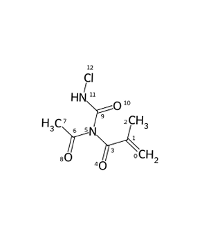 C=C(C)C(=O)N(C(C)=O)C(=O)NCl